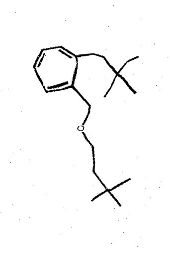 CC(C)(C)CCOCc1ccccc1CC(C)(C)C